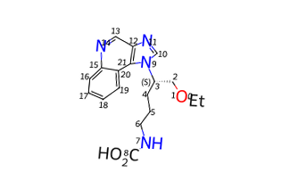 CCOC[C@H](CCCNC(=O)O)n1cnc2cnc3ccccc3c21